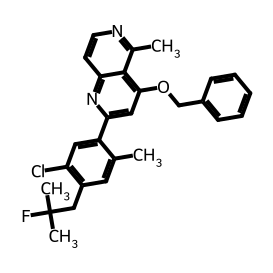 Cc1cc(CC(C)(C)F)c(Cl)cc1-c1cc(OCc2ccccc2)c2c(C)nccc2n1